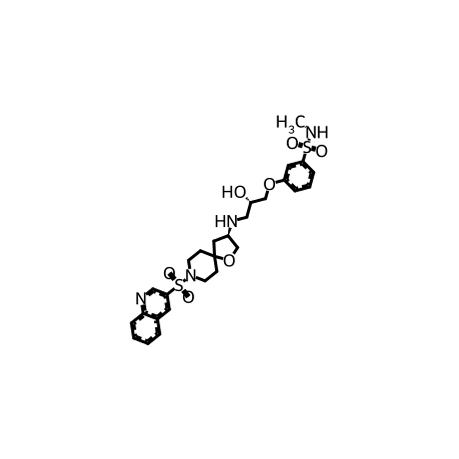 CNS(=O)(=O)c1cccc(OC[C@@H](O)CN[C@H]2COC3(CCN(S(=O)(=O)c4cnc5ccccc5c4)CC3)C2)c1